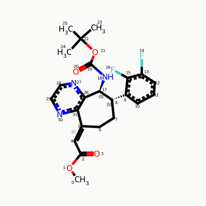 COC(=O)/C=C1\CC[C@@H](c2cccc(F)c2F)[C@H](NC(=O)OC(C)(C)C)c2nccnc21